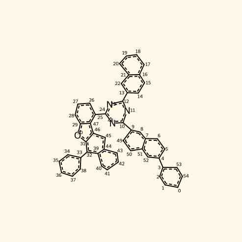 c1ccc(-c2ccc3cc(-c4nc(-c5ccc6ccccc6c5)nc(-c5cccc6oc7c(-c8ccccc8)c8ccccc8cc7c56)n4)ccc3c2)cc1